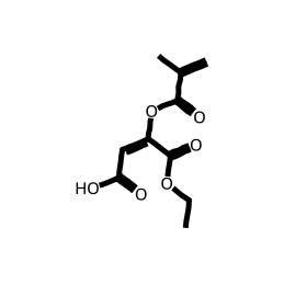 C=C(C)C(=O)OC(=CC(=O)O)C(=O)OCC